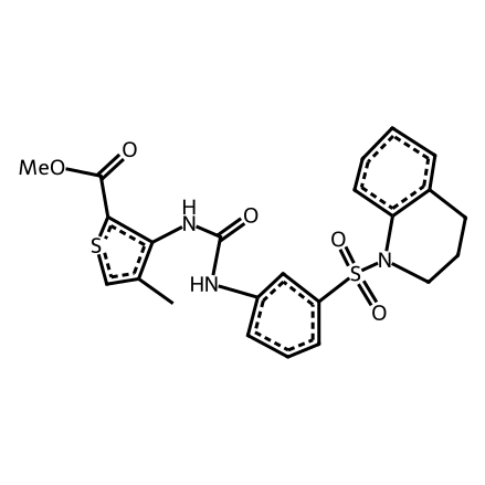 COC(=O)c1scc(C)c1NC(=O)Nc1cccc(S(=O)(=O)N2CCCc3ccccc32)c1